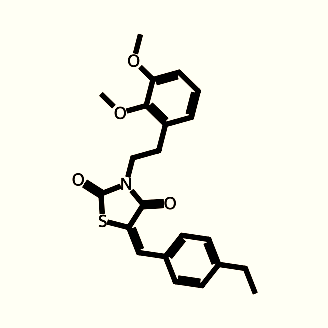 CCc1ccc(C=C2SC(=O)N(CCc3cccc(OC)c3OC)C2=O)cc1